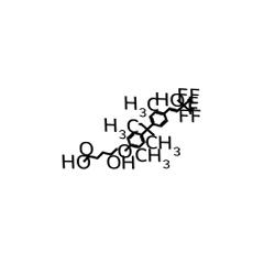 CCC(CC)(c1ccc(C=CC(O)(C(F)(F)F)C(F)(F)F)c(C)c1)c1ccc(OC[C@@H](O)CCC(=O)O)c(C)c1